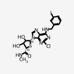 CNC(=O)[C@H]1S[C@@H](n2cnc3c(NCc4cccc(I)c4)nc(Cl)nc32)C(O)C1O